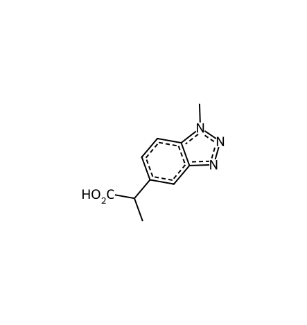 CC(C(=O)O)c1ccc2c(c1)nnn2C